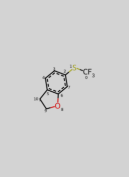 FC(F)(F)Sc1ccc2c(c1)OC[CH]2